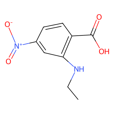 CCNc1cc([N+](=O)[O-])ccc1C(=O)O